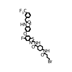 O=C(Cc1cccc(C(F)(F)F)c1)Nc1cc(Oc2cc3sc(NC(=O)C4CCC(NC(=O)CCCBr)CC4)nc3cc2F)ccc1F